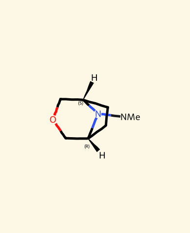 CNN1[C@@H]2CC[C@H]1COC2